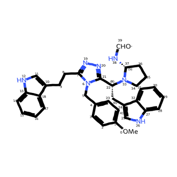 COc1ccc(Cn2c(CCc3c[nH]c4ccccc34)nnc2[C@@H](Cc2c[nH]c3ccccc23)N2CCC[C@H]2N[C]=O)cc1